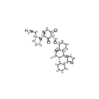 Cc1cc(-n2ccnc2-c2ccccc2)c2cccc(OCc3c(Cl)cnc(N4CCC[C@H]4CN)c3Cl)c2n1